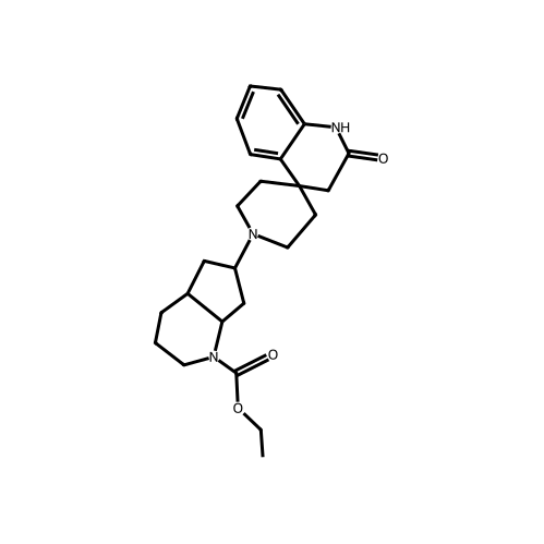 CCOC(=O)N1CCCC2CC(N3CCC4(CC3)CC(=O)Nc3ccccc34)CC21